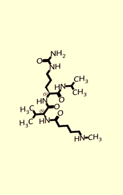 CNCCCCC(=O)N[C@H](C(=O)N[C@@H](CCCNC(N)=O)C(=O)NC(C)C)C(C)C